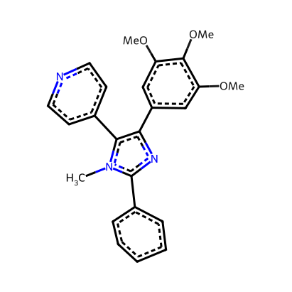 COc1cc(-c2nc(-c3ccccc3)n(C)c2-c2ccncc2)cc(OC)c1OC